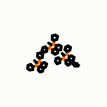 CC(P(c1ccccc1)c1ccccc1)P(c1ccccc1)c1ccccc1.CC(P(c1ccccc1)c1ccccc1)P(c1ccccc1)c1ccccc1.CC(P(c1ccccc1)c1ccccc1)P(c1ccccc1)c1ccccc1.[Cu].[Cu]